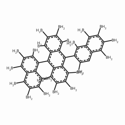 Bc1cc2c(B)c(B)c(B)c(B)c2c(B)c1-c1c2c(B)c(B)c(B)c(B)c2c(-c2c(B)c(B)c(B)c3c(B)c(B)c(B)c(B)c23)c2c(B)c(B)c(B)c(B)c12